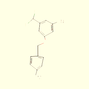 COc1ccc(COc2cc(C#N)cc(C(F)F)c2)cc1